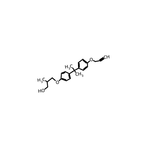 C#CCOc1ccc(C(C)(C)c2ccc(OCC(C)CO)cc2)cc1